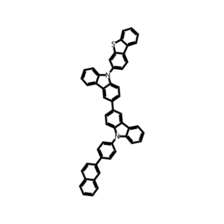 c1ccc2cc(-c3ccc(-n4c5ccccc5c5cc(-c6ccc7c(c6)c6ccccc6n7-c6ccc7c(c6)sc6ccccc67)ccc54)cc3)ccc2c1